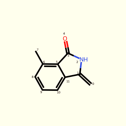 C=C1NC(=O)c2c(C)cccc21